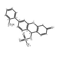 O=C1C=CC2=C(C1)Oc1cc(-c3ccccc3C(=O)O)ccc1C2OS(=O)(=O)C(F)(F)F